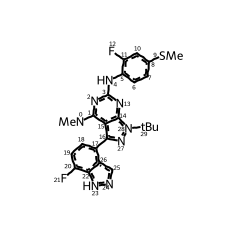 CNc1nc(Nc2ccc(SC)cc2F)nc2c1c(-c1ccc(F)c3[nH]ncc13)nn2C(C)(C)C